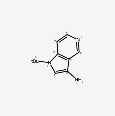 CC(C)(C)n1cc(N)c2cnccc21